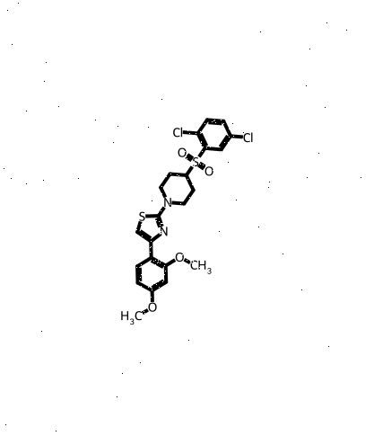 COc1ccc(-c2csc(N3CCC(S(=O)(=O)c4cc(Cl)ccc4Cl)CC3)n2)c(OC)c1